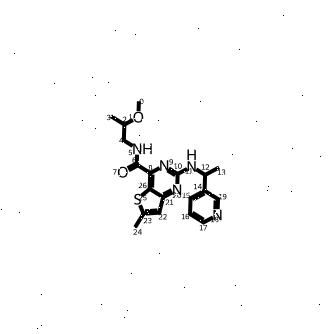 COC(C)CNC(=O)c1nc(NC(C)c2cccnc2)nc2cc(C)sc12